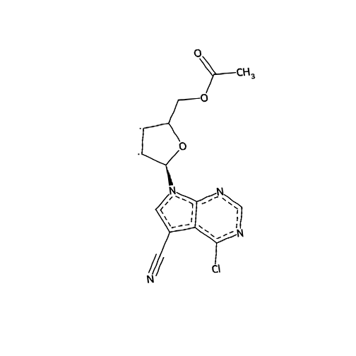 CC(=O)OCC1[CH][CH][C@H](n2cc(C#N)c3c(Cl)ncnc32)O1